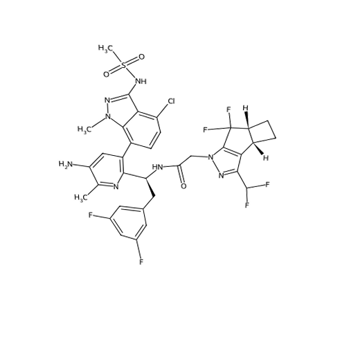 Cc1nc([C@H](Cc2cc(F)cc(F)c2)NC(=O)Cn2nc(C(F)F)c3c2C(F)(F)[C@@H]2CC[C@H]32)c(-c2ccc(Cl)c3c(NS(C)(=O)=O)nn(C)c23)cc1N